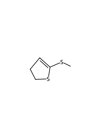 CSC1=CCCS1